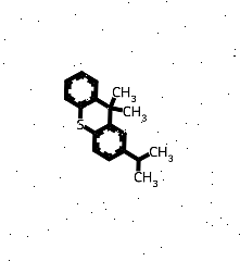 CC(C)c1ccc2c(c1)C(C)(C)c1ccccc1S2